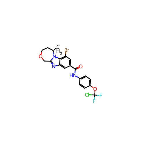 C[C@@H]1CCOCc2nc3cc(C(=O)Nc4ccc(OC(F)(F)Cl)cc4)cc(Br)c3n21